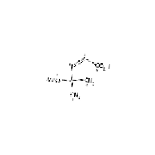 COC(C)(C)/C=C\C(=O)O